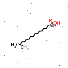 CC(C)CCCCCCCCCCCC[CH2][AlH][C](=O)O